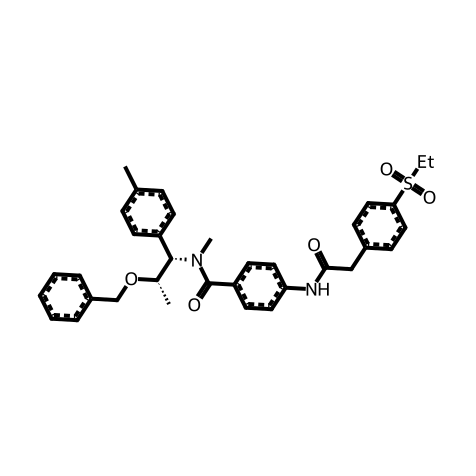 CCS(=O)(=O)c1ccc(CC(=O)Nc2ccc(C(=O)N(C)[C@@H](c3ccc(C)cc3)[C@H](C)OCc3ccccc3)cc2)cc1